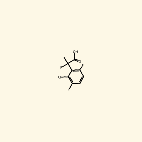 CC(F)(C(=O)O)c1c(F)ccc(F)c1Cl